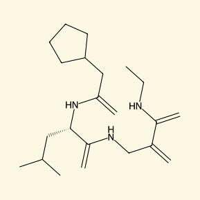 C=C(CC1CCCC1)N[C@@H](CC(C)C)C(=C)NCC(=C)C(=C)NCC